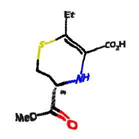 CCC1=C(C(=O)O)N[C@H](C(=O)OC)CS1